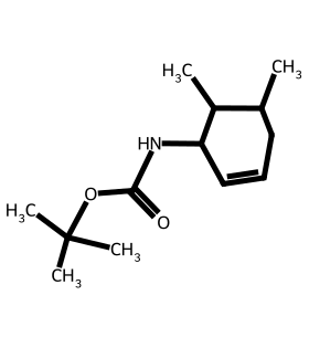 CC1CC=CC(NC(=O)OC(C)(C)C)C1C